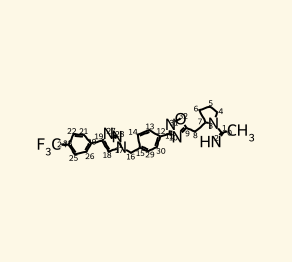 CC(=N)N1CCCC1Cc1nc(-c2ccc(Cn3cc(-c4ccc(C(F)(F)F)cc4)nn3)cc2)no1